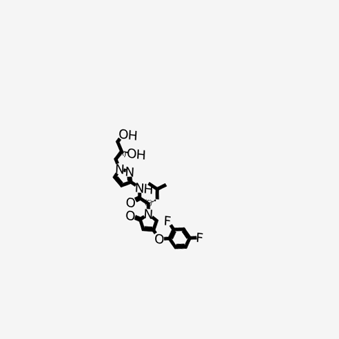 CC(C)C[C@@H](C(=O)Nc1ccn(C[C@@H](O)CO)n1)N1CC(Oc2ccc(F)cc2F)=CC1=O